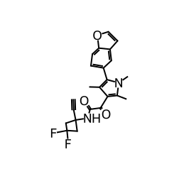 C#CC1(NC(=O)C(=O)c2c(C)c(-c3ccc4occc4c3)n(C)c2C)CC(F)(F)C1